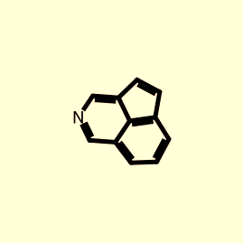 C1=Cc2cncc3cccc1c23